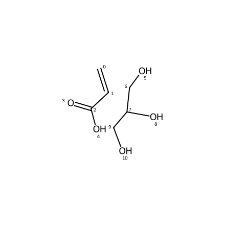 C=CC(=O)O.OCC(O)CO